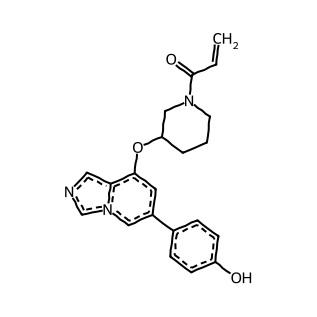 C=CC(=O)N1CCCC(Oc2cc(-c3ccc(O)cc3)cn3cncc23)C1